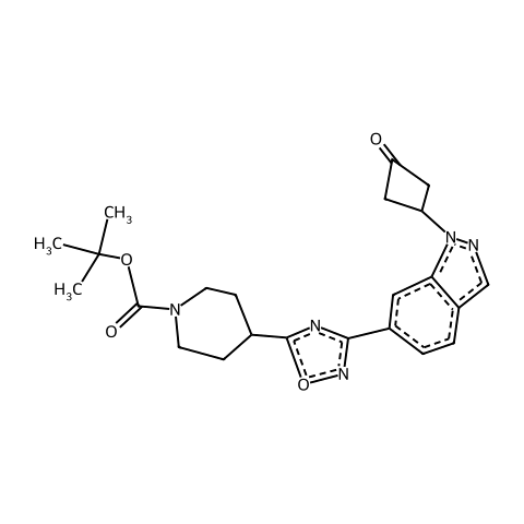 CC(C)(C)OC(=O)N1CCC(c2nc(-c3ccc4cnn(C5CC(=O)C5)c4c3)no2)CC1